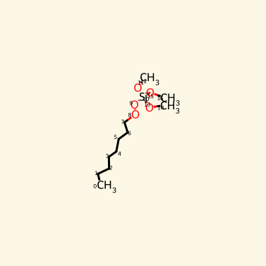 CCCCCCCCOO[Si](OC)(OC)OC